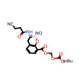 CCCCOC(=O)OCOC(=O)c1cccc2c1OB(N=O)[C@@H](NC(=O)CCC#N)C2